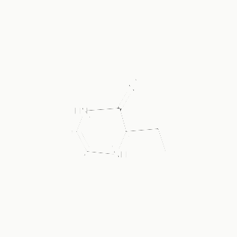 CCC1NC=CNC1=N